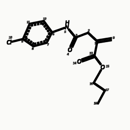 C=C(CC(=O)Nc1ccc(Cl)cc1)C(=O)OCCC